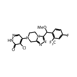 COC(c1ccc(F)cc1C(F)(F)F)c1nnc2n1CCN(c1cn[nH]c(=O)c1Cl)C2